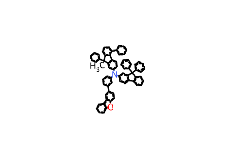 CC1(c2ccccc2)c2cc(N(c3cccc(-c4ccc5oc6ccccc6c5c4)c3)c3ccc4c(c3)C(c3ccccc3)(c3ccccc3)c3ccccc3-4)ccc2-c2c(-c3ccccc3)cccc21